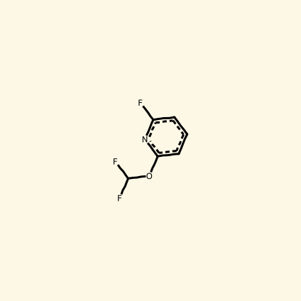 Fc1cccc(OC(F)F)n1